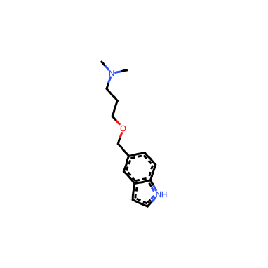 CN(C)CCCOCc1ccc2[nH]c[c]c2c1